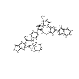 O=C(Nc1ccc(C(O)N2CCc3cc(-c4nc5ccccc5[nH]4)sc3-c3ccc(F)cc32)cc1)c1cc2c(nc1N1CC3(CCOCC3)C1)CCC2